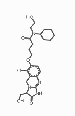 O=C1NC2=Nc3ccc(OCCCC(=O)N(CCO)C4CCCCC4)c(Cl)c3CN2C1CO